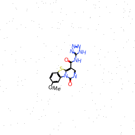 COc1ccc2sc3c(C(=O)Nc4nnn[nH]4)cnc(=O)n3c2c1